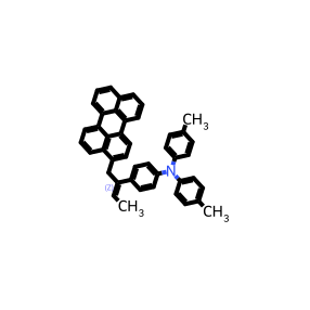 C/C=C(/Cc1ccc2c3cccc4cccc(c5cccc1c52)c43)c1ccc(N(c2ccc(C)cc2)c2ccc(C)cc2)cc1